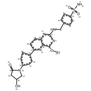 CCOc1nc(NCc2ccc(S(N)(=O)=O)cc2)nc2ccc(-c3ccc(N4CC(O)CC4=O)cc3)nc12